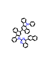 c1ccc(-n2c3ccccc3c3cc(-c4cc5c(c6ccccc46)c4ccccc4n5-c4nc(-c5ccc6ccccc6c5)c5ccccc5n4)c4ccccc4c32)cc1